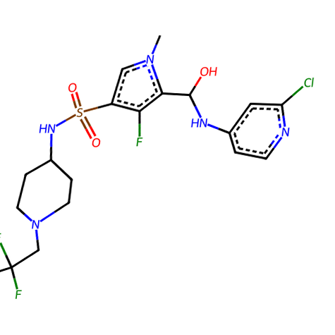 Cn1cc(S(=O)(=O)NC2CCN(CC(F)(F)F)CC2)c(F)c1C(O)Nc1ccnc(Cl)c1